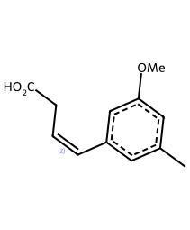 COc1cc(C)cc(/C=C\CC(=O)O)c1